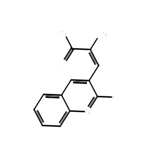 N#C/C(=C/c1cc2ccccc2nc1O)C(N)=O